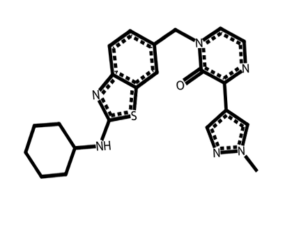 Cn1cc(-c2nccn(Cc3ccc4nc(NC5CCCCC5)sc4c3)c2=O)cn1